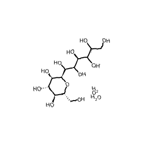 O.O.OCC(O)C(O)C(O)C(O)C(O)[C@H]1O[C@H](CO)[C@@H](O)[C@H](O)[C@H]1O